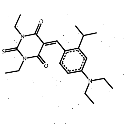 CCN1C(=O)C(=Cc2ccc(N(CC)CC)cc2C(C)C)C(=O)N(CC)C1=S